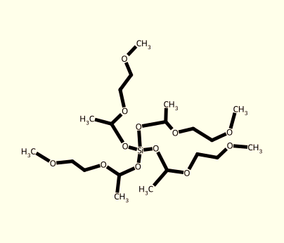 COCCOC(C)O[Si](OC(C)OCCOC)(OC(C)OCCOC)OC(C)OCCOC